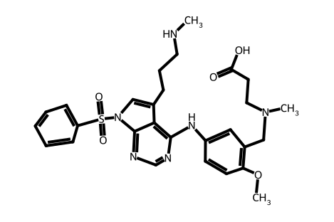 CNCCCc1cn(S(=O)(=O)c2ccccc2)c2ncnc(Nc3ccc(OC)c(CN(C)CCC(=O)O)c3)c12